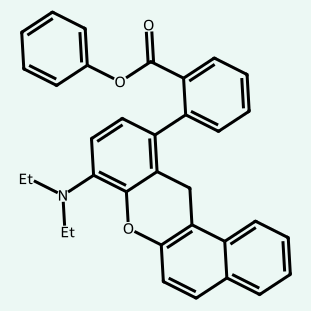 CCN(CC)c1ccc(-c2ccccc2C(=O)Oc2ccccc2)c2c1Oc1ccc3ccccc3c1C2